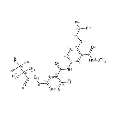 CNC(=O)c1cc(NC(=O)c2cc(CNC(=O)C(C)(C)C(F)(F)F)ccc2Cl)ccc1OCC(F)F